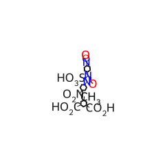 Cc1cc(C(=O)O)cc(C(=O)O)c1.O=C1CN(c2ccc(N3CCOCC3)cc2)C(S(=O)(=O)O)N1c1ccc([N+](=O)[O-])cc1